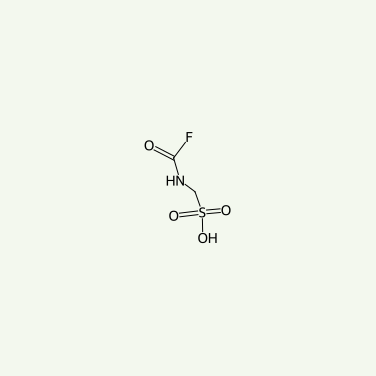 O=C(F)NCS(=O)(=O)O